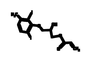 C=CC(=O)OCC(O)COc1c(I)ccc(C)c1I